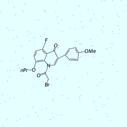 CCCOc1ccc(F)c2c(=O)c(-c3ccc(OC)cc3)cn(C(=O)CBr)c12